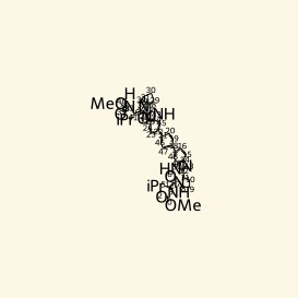 COC(=O)N[C@H](C(=O)N1CCCC1c1nc2ccc(-c3ccc(-c4ccc5nc(C67CCC(CN6C(=O)[C@@H](NC(=O)OC)C(C)C)C7)[nH]c5c4)cc3)cc2[nH]1)C(C)C